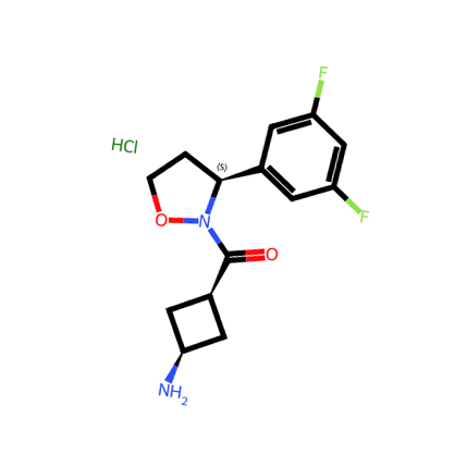 Cl.N[C@H]1C[C@@H](C(=O)N2OCC[C@H]2c2cc(F)cc(F)c2)C1